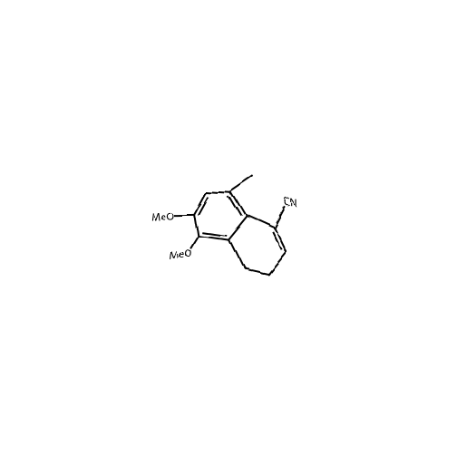 COc1cc(C)c2c(c1OC)CCC=C2C#N